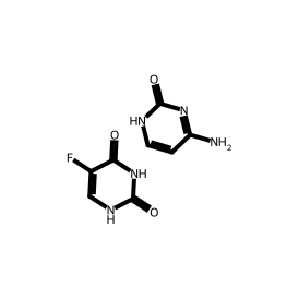 Nc1cc[nH]c(=O)n1.O=c1[nH]cc(F)c(=O)[nH]1